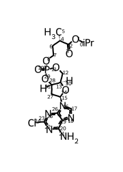 CC(C)OC(=O)[C@@H](C)CCO[P@]1(=O)OC[C@H]2O[C@@H](n3cnc4c(N)nc(Cl)nc43)C[C@@H]2O1